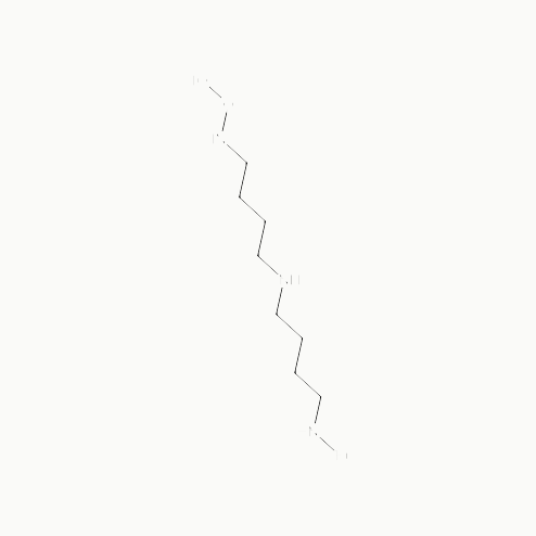 CCNCCCCNCCCCNOO